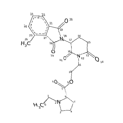 CCN1CCC[C@H]1C(=O)OCCN1C(=O)CCC(N2C(=O)c3cccc(C)c3C2=O)C1=O